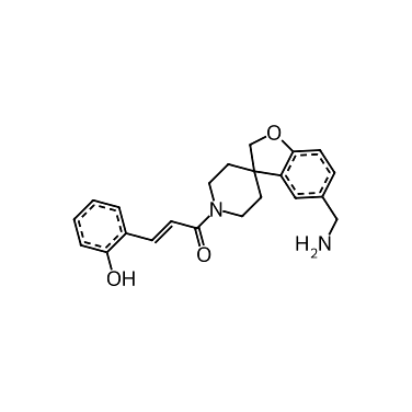 NCc1ccc2c(c1)C1(CCN(C(=O)/C=C/c3ccccc3O)CC1)CO2